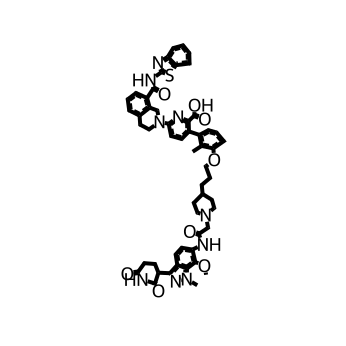 COc1c(NC(=O)CN2CCC(CCCOc3cccc(-c4ccc(N5CCc6cccc(C(=O)Nc7nc8ccccc8s7)c6C5)nc4C(=O)O)c3C)CC2)ccc2c(C3CCC(=O)NC3=O)nn(C)c12